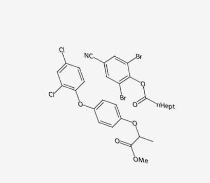 CCCCCCCC(=O)Oc1c(Br)cc(C#N)cc1Br.COC(=O)C(C)Oc1ccc(Oc2ccc(Cl)cc2Cl)cc1